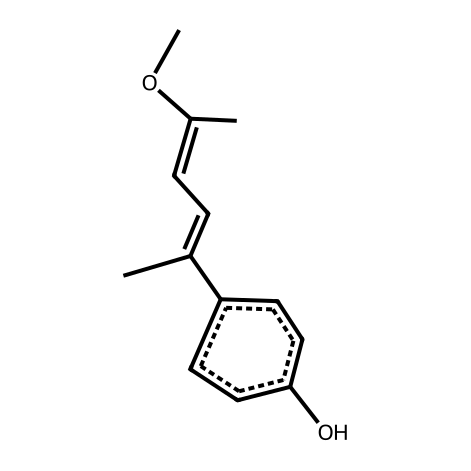 CO/C(C)=C/C=C(\C)c1ccc(O)cc1